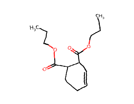 CCCOC(=O)C1C=CCCC1C(=O)OCCC